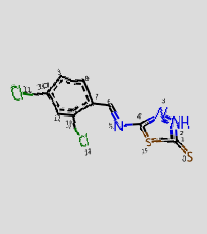 S=c1[nH]nc(N=Cc2ccc(Cl)cc2Cl)s1